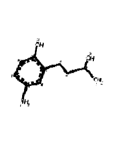 CC(O)CCc1cc(N)ccc1O